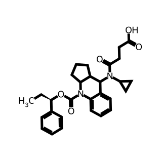 CC[C@@H](OC(=O)N1c2ccccc2C(N(C(=O)CCC(=O)O)C2CC2)C2CCCC21)c1ccccc1